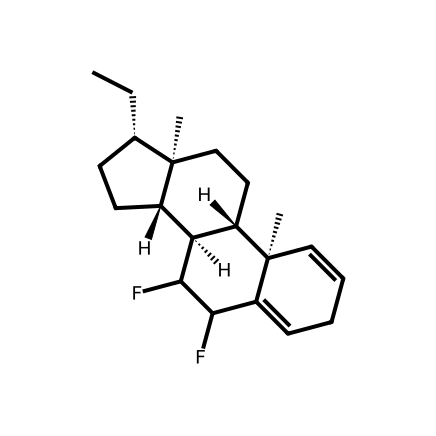 CC[C@H]1CC[C@H]2[C@@H]3C(F)C(F)C4=CCC=C[C@]4(C)[C@H]3CC[C@]12C